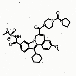 COc1ccc2c(c1)C=C(C(=O)N1CCN(C(=O)N3CCCC3)CC1)Cn1c-2c(C2CCCCC2)c2ccc(C(=O)NS(=O)(=O)N(C)C)cc21